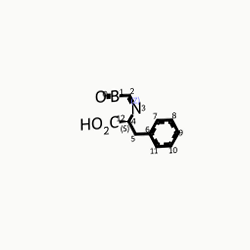 O=B/C=N\[C@@H](Cc1ccccc1)C(=O)O